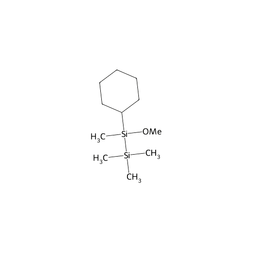 CO[Si](C)(C1CCCCC1)[Si](C)(C)C